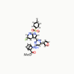 COC(=O)C1C2CCC(CC2)C1Nc1cc(-c2ccoc2)nc(-c2cn(S(=O)(=O)c3ccc(C)cc3)c3ncc(F)cc23)n1